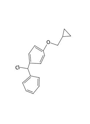 ClC(c1ccccc1)c1ccc(OCC2CC2)cc1